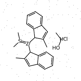 CC1=Cc2ccccc2[CH]1[Zr]([CH]1C(C)=Cc2ccccc21)=[Si](C)C.CCO.Cl